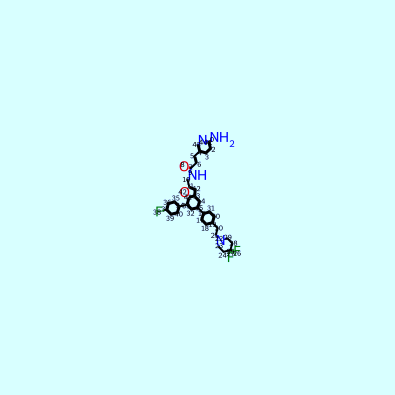 Nc1ccc(/C=C/C(=O)NCc2cc3cc(-c4ccc(CCN5CCC(F)(F)CC5)cc4)cc(-c4ccc(F)cc4)c3o2)cn1